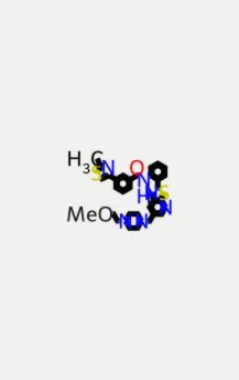 COCCN1CCN(Cc2cnc3sc(-c4ccccc4NC(=O)c4cccc(-c5csc(C)n5)c4)nc3c2)CC1